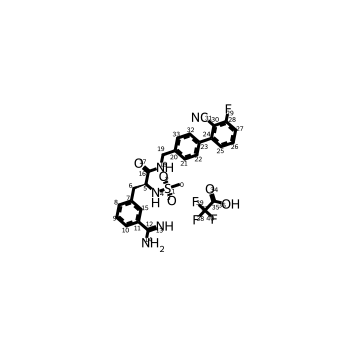 CS(=O)(=O)N[C@@H](Cc1cccc(C(=N)N)c1)C(=O)NCc1ccc(-c2cccc(F)c2C#N)cc1.O=C(O)C(F)(F)F